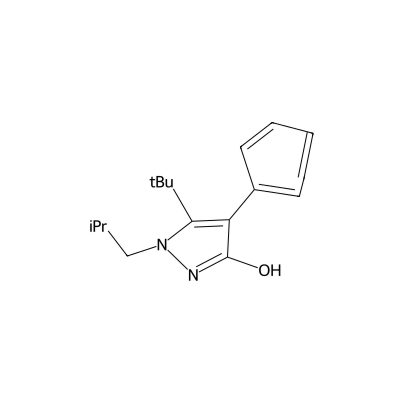 CC(C)Cn1nc(O)c(-c2ccccc2)c1C(C)(C)C